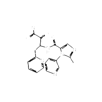 Cc1ncc(C(=O)NC(Cc2ccccn2)C(=O)C(N)=O)n1-c1cccnc1